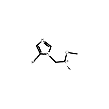 CO[C@H](C)Cn1cncc1F